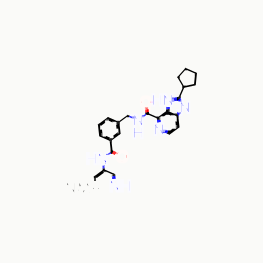 CN/C=C(\C=N)NC(=O)c1cccc(CNC(=O)c2nccc3nc(C4CCCC4)[nH]c23)c1